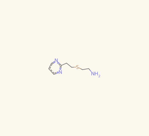 NCCSCCc1ncccn1